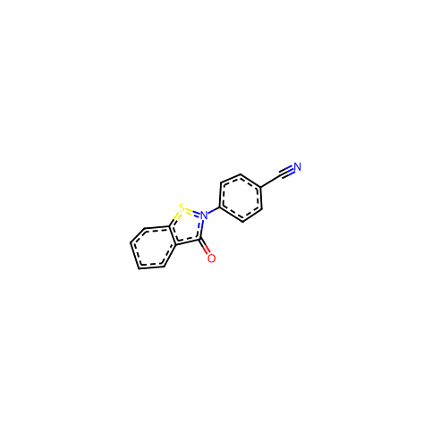 N#Cc1ccc(-n2sc3ccccc3c2=O)cc1